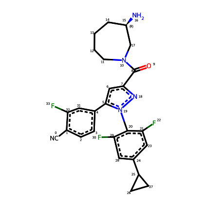 N#Cc1ccc(-c2cc(C(=O)N3CCCC[C@@H](N)C3)nn2-c2c(F)cc(C3CC3)cc2F)cc1F